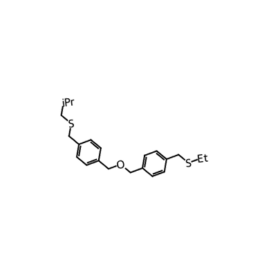 CCSCc1ccc(COCc2ccc(CSCC(C)C)cc2)cc1